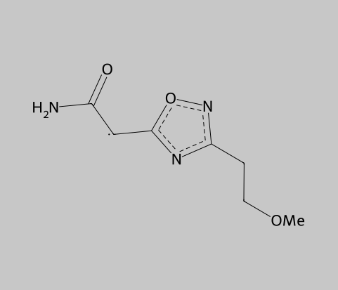 COCCc1noc([CH]C(N)=O)n1